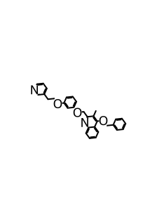 Cc1c(COc2cccc(OCCc3cccnc3)c2)nc2ccccc2c1OCc1ccccc1